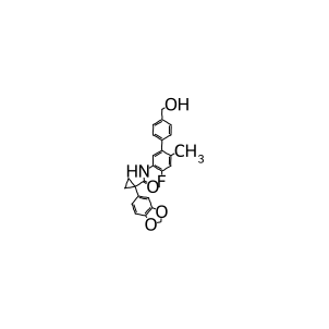 Cc1cc(F)c(NC(=O)C2(c3ccc4c(c3)OCO4)CC2)cc1-c1ccc(CO)cc1